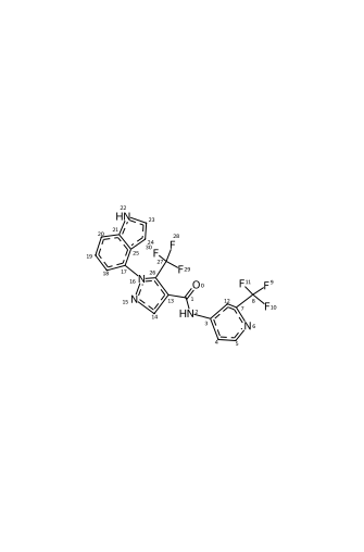 O=C(Nc1ccnc(C(F)(F)F)c1)c1cnn(-c2cccc3[nH]ccc23)c1C(F)(F)F